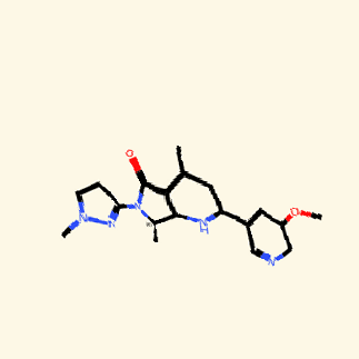 COC1CN=CC(C2CC(C)C3C(=O)N(C4=NN(C)CC4)[C@H](C)C3N2)C1